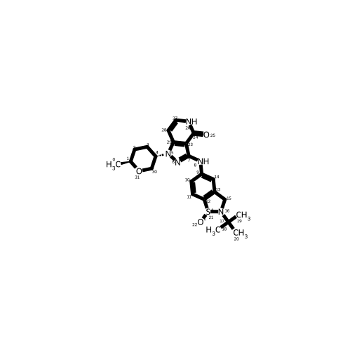 C[C@H]1CC[C@H](n2nc(Nc3ccc4c(c3)CN(C(C)(C)C)[S+]4[O-])c3c(=O)[nH]ccc32)CO1